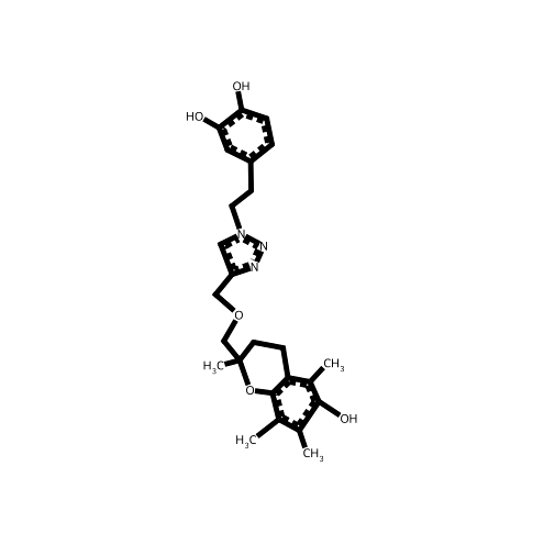 Cc1c(C)c2c(c(C)c1O)CCC(C)(COCc1cn(CCc3ccc(O)c(O)c3)nn1)O2